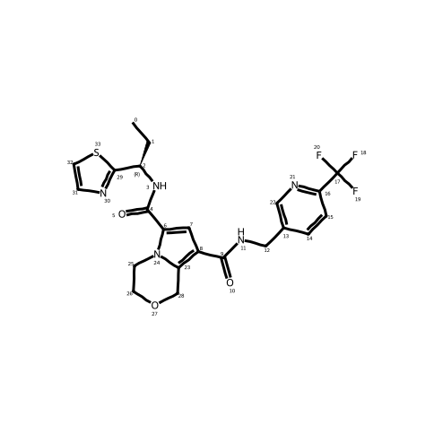 CC[C@@H](NC(=O)c1cc(C(=O)NCc2ccc(C(F)(F)F)nc2)c2n1CCOC2)c1nccs1